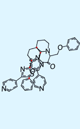 O=C(C(COc1ccccc1)N1CCCC[C@@H]1c1nc(-c2ccncc2)cs1)C(COc1ccccc1)N1CCCC[C@@H]1c1nc(-c2ccncc2)cs1